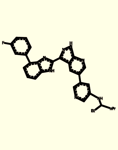 CCCC(CC)Nc1cncc(-c2cnc3[nH]nc(-c4nc5c(-c6cccc(F)c6)cccc5[nH]4)c3c2)c1